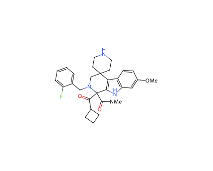 CNC(=O)C1(C(=O)C2CCC2)c2[nH]c3cc(OC)ccc3c2C2(CCNCC2)CN1Cc1ccccc1F